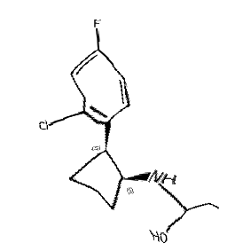 CC(O)N[C@H]1CC[C@H]1c1ccc(F)cc1Cl